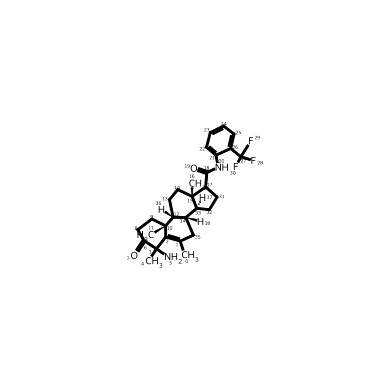 CC1=C2C(C)(N)C(=O)CC[C@]2(C)[C@@H]2CC[C@]3(C)C(C(=O)Nc4ccccc4C(F)(F)F)CC[C@H]3[C@@H]2C1